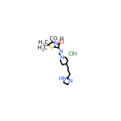 CC1(C)SC2C(N=CN3CCC(CCCC4=NCCN4)CC3)C(=O)N2[C@H]1C(=O)O.Cl